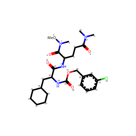 CON(C)C(=O)C(CCC(=O)N(C)C)NC(=O)C(CC1CCCCC1)NC(=O)OCc1cccc(Cl)c1